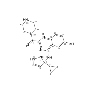 S=C(c1nc(NC2(C3CC3)C=CNN2)c2cc(Cl)ccc2n1)N1CCNCC1